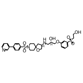 O=S(=O)(CCO)c1cccc(OC[C@@H](O)CN[C@H]2COC3(CCN(S(=O)(=O)c4ccc(-c5cccnc5)cc4)CC3)C2)c1